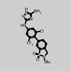 CC(C)(C)N1Cc2ccc(-c3c(Cl)cc(Nc4n[nH]c(N)n4)cc3C(F)(F)F)cc2S1(=O)=O